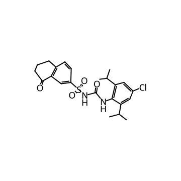 CC(C)c1cc(Cl)cc(C(C)C)c1NC(=O)NS(=O)(=O)c1ccc2c(c1)C(=O)CCC2